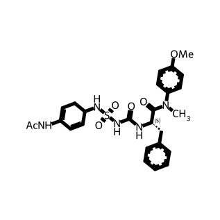 COc1ccc(N(C)C(=O)[C@H](Cc2ccccc2)NC(=O)NS(=O)(=O)NC2C=CC(NC(C)=O)=CC2)cc1